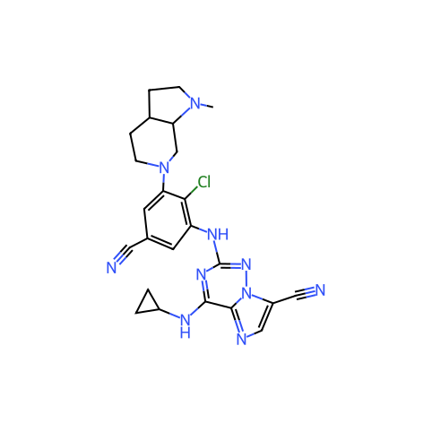 CN1CCC2CCN(c3cc(C#N)cc(Nc4nc(NC5CC5)c5ncc(C#N)n5n4)c3Cl)CC21